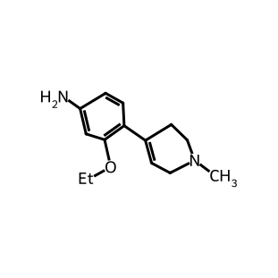 CCOc1cc(N)ccc1C1=CCN(C)CC1